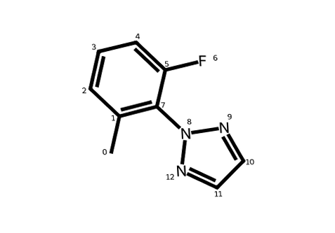 Cc1cccc(F)c1-n1nccn1